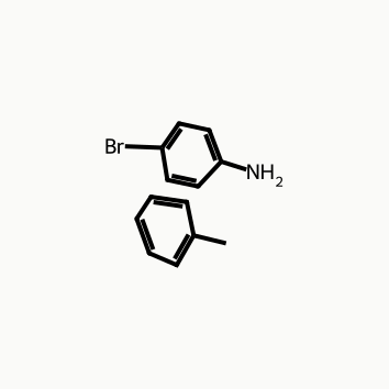 Cc1ccccc1.Nc1ccc(Br)cc1